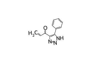 C=CC(=O)c1nn[nH]c1-c1ccccc1